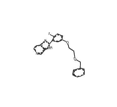 Fc1ccc(OCCOCc2ccccc2)cc1-c1nc2ccncc2[nH]1